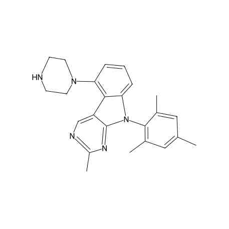 Cc1cc(C)c(-n2c3cccc(N4CCNCC4)c3c3cnc(C)nc32)c(C)c1